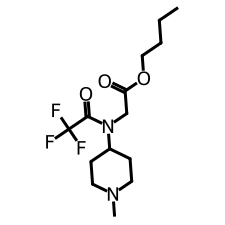 CCCCOC(=O)CN(C(=O)C(F)(F)F)C1CCN(C)CC1